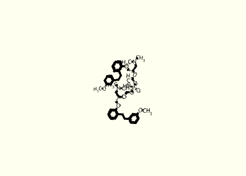 CNP(=O)(OCO[C@H](COc1ccccc1CCc1cccc(OC)c1)CN(C)C)OCO[C@H](COc1ccccc1CCc1cccc(OC)c1)CN(C)C